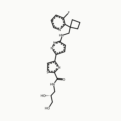 O=C(NC[C@@H](O)CO)c1nc(-c2ccc(NCC3(c4ncccc4F)CCC3)nn2)[c]s1